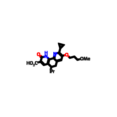 COCCCOc1cc2c(nc1C1CC1)-c1[nH]c(=O)c(C(=O)O)cc1C(C(C)C)C2